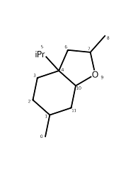 CC1CCC2(C(C)C)CC(C)OC2C1